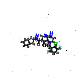 Cc1c(C(=O)NC2Cc3ccccc3C2)cnc2c1N(Cc1c(F)ccc(F)c1Cl)CCN2